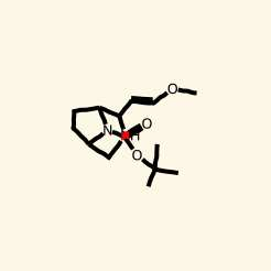 COC=CC1NCC2CCC1N2C(=O)OC(C)(C)C